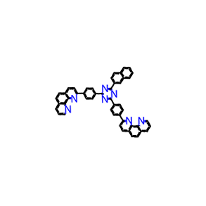 c1ccc2cc(-c3nc(-c4ccc(-c5ccc6ccc7cccnc7c6n5)cc4)nc(-c4ccc(-c5ccc6ccc7cccnc7c6n5)cc4)n3)ccc2c1